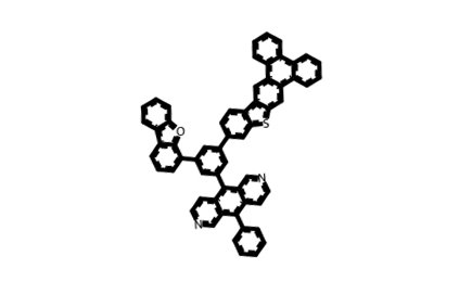 c1ccc(-c2c3ccncc3c(-c3cc(-c4ccc5c(c4)sc4cc6c7ccccc7c7ccccc7c6cc45)cc(-c4cccc5c4oc4ccccc45)c3)c3ccncc23)cc1